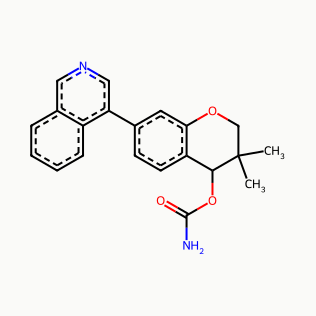 CC1(C)COc2cc(-c3cncc4ccccc34)ccc2C1OC(N)=O